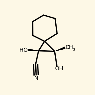 C[C@]1(O)C2(CCCCC2)[C@@]1(O)C#N